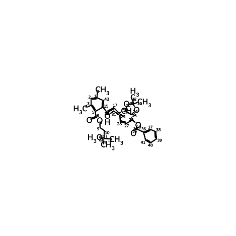 Cc1cc(C)c(C(=O)OCC[Si](C)(C)C)c(/C=C/C[C@@H]2OC(C)(C)O[C@@H]2C(/C=C\[C@H](C)CO)OC(=O)c2ccccc2)c1